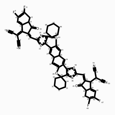 N#CC(C#N)=C1C2=CC(F)=C(F)CC2C(=O)/C1=C\c1nc2c(s1)C1=CC3C=C4OC5(CCCCC5)c5nc(/C=C6\C(=O)C7CC(F)=C(F)C=C7C6C(C#N)C#N)sc5C4=CC3C=C1OC21CCCCC1